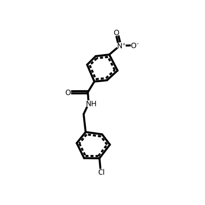 O=C(NCc1ccc(Cl)cc1)c1ccc([N+](=O)[O-])cc1